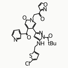 CC(C)(C)C(=O)n1nc(-c2cn(CC(=O)c3ccon3)c(=O)cc2C(=O)c2cccnc2)cc1NCc1ccc(Cl)s1